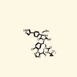 CC(C)(C)C[C@]1(c2ccc(-c3cn[nH]c3)cc2)NC(=N)N([C@H](COC(=O)NC2(C(F)(F)F)CC2)c2ccc(Cl)c(-n3ncnc3C(F)F)c2)C1=O